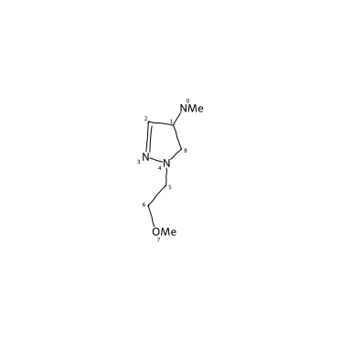 CNC1C=NN(CCOC)C1